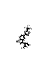 FC(F)(F)c1nc(-c2ccc3[nH]cc(-c4ccsc4Cl)c3c2)no1